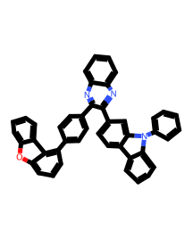 c1ccc(-n2c3ccccc3c3ccc(-c4nc5ccccc5nc4-c4ccc(-c5cccc6oc7ccccc7c56)cc4)cc32)cc1